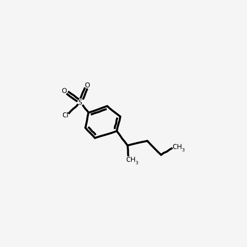 CCCC(C)c1ccc(S(=O)(=O)Cl)cc1